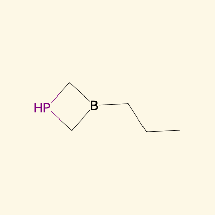 CCCB1CPC1